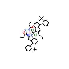 CCCC1=Cc2c(-c3ccccc3C(C)(C)C)cccc2[CH]1[Zr]([Cl])([Cl])([B](NC(=O)CC)NC(=O)CC)[CH]1C(CCC)=Cc2c(-c3ccccc3C(C)(C)C)cccc21